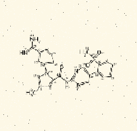 Cc1cc(C(=O)Nc2ncc(-c3ccccc3S(C)(=O)=O)cn2)n(-c2cccc(C(=N)N)c2)n1